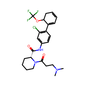 CN(C)CCC(=O)N1CCCC[C@@H]1C(=O)Nc1ccc(C2=CC=CCC2OC(F)(F)F)c(Cl)c1